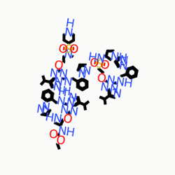 CC(C)c1cnn2c(NCc3ccccc3-n3cccn3)nc(OCCN(C)S(=O)(=O)C3CCNCC3)nc12.CC(C)c1cnn2c(NCc3ccccc3-n3cccn3)nc(OCCS(=O)(=O)NC3CCNC3)nc12.CCOC(=O)NC1CNC1Oc1nc(NCc2ccccc2-n2cccn2)n2ncc(C(C)C)c2n1